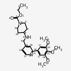 CCOC(=O)N1CCC(NCc2ccnc(-c3cc(OC)c(OC)c(OC)c3)c2)CC1